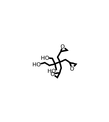 OCCC(CO)(CO)C(CC1CO1)(CC1CO1)CC1CO1